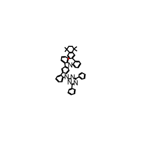 CC1(C)CCC(C)(C)c2cc(-c3ccccc3-n3c4ccccc4c4cc5c6ccccc6n(-c6nc(-c7ccccc7)nc(-c7ccccc7)n6)c5cc43)ccc21